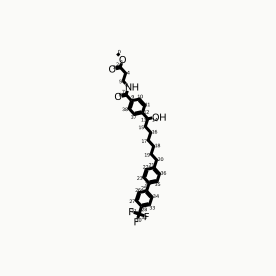 COC(=O)CCNC(=O)c1ccc(C(O)CCCCCCc2ccc(-c3ccc(C(F)(F)F)cc3)cc2)cc1